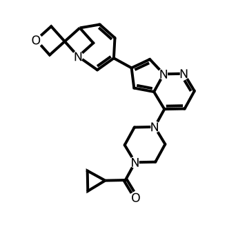 O=C(C1CC1)N1CCN(c2ccnn3cc(C4=CN5CC(C=C4)C54COC4)cc23)CC1